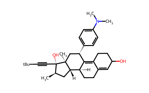 C[C@@H]1C[C@H]2[C@@H]3CCC4=CC(O)CCC4=C3[C@@H](c3ccc(N(C)C)cc3)C[C@]2(C)[C@]1(O)C#CC(C)(C)C